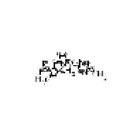 CSc1nnc(CCC2=N/C(=C\c3c(C)cc(C)n3B(F)F)C=C2)nn1